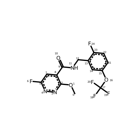 COc1nnc(F)cc1C(=O)NCc1cc(OC(F)(F)F)ccc1F